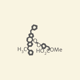 COC(Cc1ccc(OCCOC2c3ccc(Cc4ccccc4)cc3C=Cc3cc(C(C)c4ccccc4)ccc32)cc1)C(=O)O